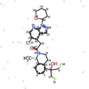 C[C@H]1c2cccc(C(O)(CF)CF)c2CCN1C(=O)Cc1c(Cl)cnc2c1cnn2C1CCCCO1